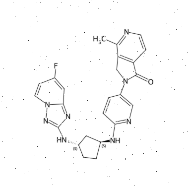 Cc1nccc2c1CN(c1ccc(N[C@H]3CC[C@H](Nc4nc5cc(F)ccn5n4)C3)nc1)C2=O